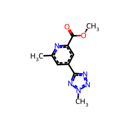 COC(=O)c1cc(-c2nnn(C)n2)cc(C)n1